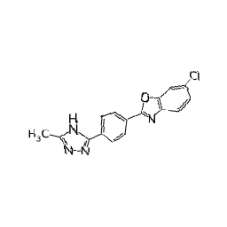 Cc1nnc(-c2ccc(-c3nc4ccc(Cl)cc4o3)cc2)[nH]1